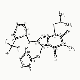 CC(C)Cn1c(=O)n(C)c(=O)c2c(Sc3ncc[nH]3)c(Cc3ccccc3C(F)(F)F)sc21